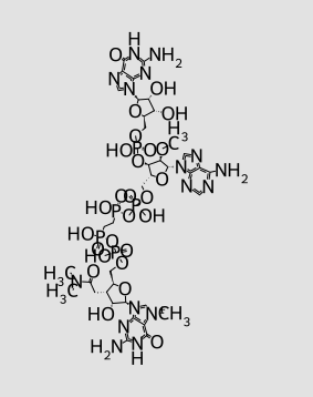 CO[C@@H]1[C@H](OP(=O)(O)OC[C@H]2O[C@@H](n3cnc4c(=O)[nH]c(N)nc43)[C@H](O)[C@@H]2O)[C@@H](COP(=O)(O)OP(=O)(O)CCP(=O)(O)OP(=O)(O)OC[C@H]2O[C@@H](n3c[n+](C)c4c(=O)[nH]c(N)nc43)[C@H](O)[C@@H]2CC(=O)N(C)C)O[C@H]1n1cnc2c(N)ncnc21